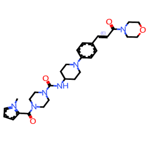 Cn1cccc1C(=O)N1CCN(C(=O)NC2CCN(c3ccc(/C=C/C(=O)N4CCOCC4)cc3)CC2)CC1